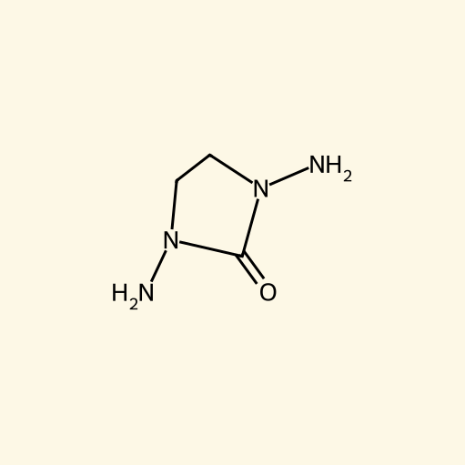 NN1CCN(N)C1=O